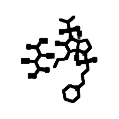 CCC[C@H]1C(=O)N(S(=O)(=O)C(C)C)[C@H]2CCN(S(=O)(=O)CCCN3CCCCC3)[C@H]12.O=C(O)C(O)C(O)C(=O)O